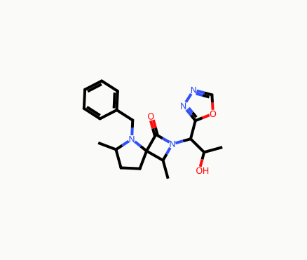 CC(O)C(c1nnco1)N1C(=O)C2(CCC(C)N2Cc2ccccc2)C1C